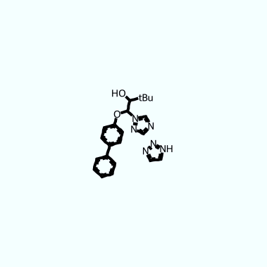 CC(C)(C)C(O)C(Oc1ccc(-c2ccccc2)cc1)n1cncn1.c1c[nH]nn1